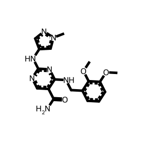 COc1cccc(CNc2nc(Nc3cnn(C)c3)ncc2C(N)=O)c1OC